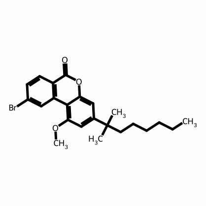 CCCCCCC(C)(C)c1cc(OC)c2c(c1)oc(=O)c1ccc(Br)cc12